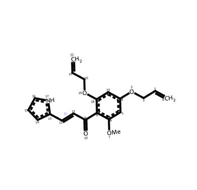 C=CCOc1cc(OC)c(C(=O)/C=C/c2ccc[nH]2)c(OCC=C)c1